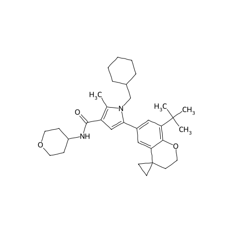 Cc1c(C(=O)NC2CCOCC2)cc(-c2cc(C(C)(C)C)c3c(c2)C2(CCO3)CC2)n1CC1CCCCC1